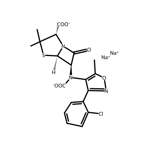 Cc1onc(-c2ccccc2Cl)c1N(C(=O)[O-])[C@@H]1C(=O)N2[C@@H]1SC(C)(C)[C@@H]2C(=O)[O-].[Na+].[Na+]